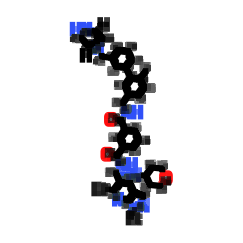 CCc1nc2c(cnn2CC)c(NC2CCOCC2)c1CNC(=O)c1cccc(C(=O)NCc2ccc(C)c(-c3cccc(CN4C[C@@H]5C[C@H]4CN5)c3)c2)c1